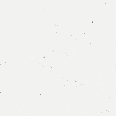 C[C@H](N)C(=O)N[C@@H](Cc1cncn1C)C(=O)[O-].C[C@H](N)C(=O)N[C@@H](Cc1cncn1C)C(=O)[O-].Cc1[nH]cnc1C[C@H](NC(=O)CN)C(=O)[O-].Cc1[nH]cnc1C[C@H](NC(=O)CN)C(=O)[O-].[Cu+2].[Cu+2]